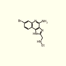 CCNCc1nc2c(N)nc3cc(Br)ccc3c2[nH]1